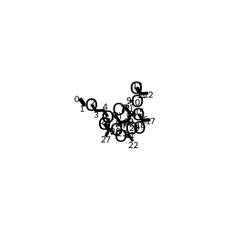 C=COCCO[C@@H]1O[C@H](COC(C)=O)[C@@H](OC(C)=O)[C@H](OC(C)=O)[C@H]1OC(C)=O